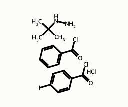 CC(C)(C)NN.Cl.O=C(Cl)c1ccc(I)cc1.O=C(Cl)c1ccccc1